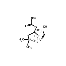 C=CC(=O)O.CC(C[N+](C)(C)C)OC(=O)C(C)(C)C.[KH]